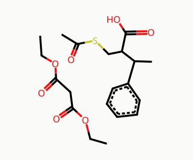 CC(=O)SCC(C(=O)O)C(C)c1ccccc1.CCOC(=O)CC(=O)OCC